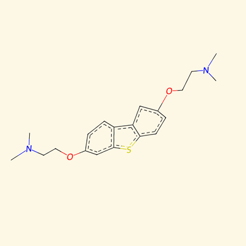 CN(C)CCOc1ccc2c(c1)sc1ccc(OCCN(C)C)cc12